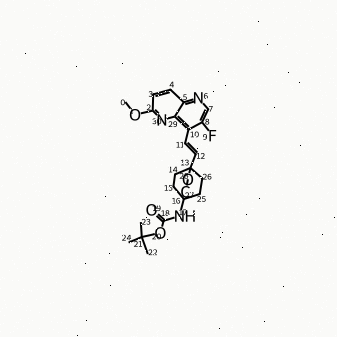 COc1ccc2ncc(F)c(C=CC34CCC(NC(=O)OC(C)(C)C)(CC3)CO4)c2n1